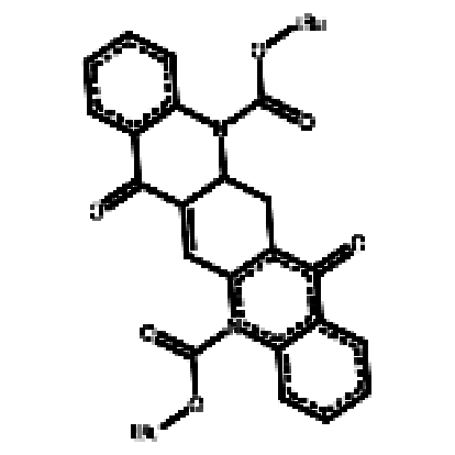 CC(C)(C)OC(=O)N1c2ccccc2C(=O)C2=Cc3c(c(=O)c4ccccc4n3C(=O)OC(C)(C)C)CC21